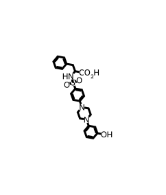 O=C(O)C(Cc1ccccc1)NS(=O)(=O)c1ccc(N2CCN(c3cccc(O)c3)CC2)cc1